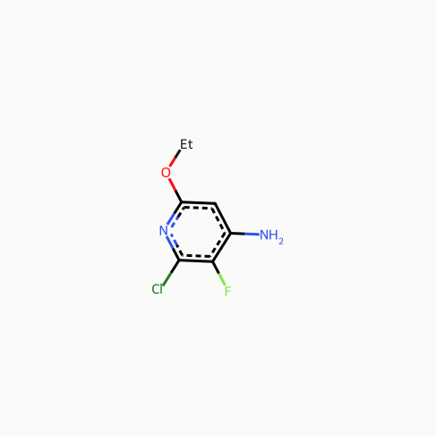 CCOc1cc(N)c(F)c(Cl)n1